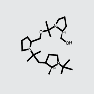 C[C@H]1C(CC(C)(C)N2CCCC2COC(C)(C)N2CCC[C@H]2CO)CCN1C(C)(C)C